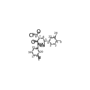 Cc1ccc(-c2cc(C(=O)Cl)c(=O)n(-c3cccc(F)c3)n2)cc1C